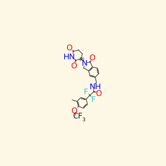 Cc1cc(C(F)(F)C(=O)NCc2ccc3c(c2)CN([C@@H]2CCC(=O)NC2=O)C3=O)ccc1OC(F)(F)F